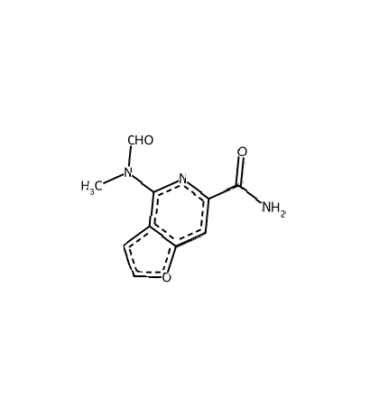 CN(C=O)c1nc(C(N)=O)cc2occc12